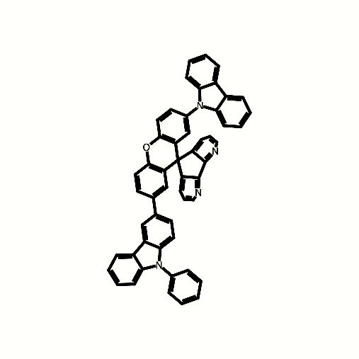 c1ccc(-n2c3ccccc3c3cc(-c4ccc5c(c4)C4(c6cc(-n7c8ccccc8c8ccccc87)ccc6O5)c5cccnc5-c5ncccc54)ccc32)cc1